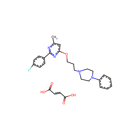 Cc1cc(OCCCN2CCN(c3ccccc3)CC2)nc(-c2ccc(F)cc2)n1.O=C(O)C=CC(=O)O